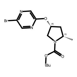 C[C@H]1C[C@@H](Oc2cnc(Br)cn2)CN1C(=O)OC(C)(C)C